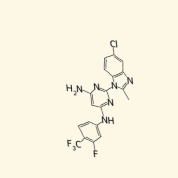 Cc1nc2cc(Cl)ccc2n1-c1nc(N)cc(Nc2ccc(C(F)(F)F)c(F)c2)n1